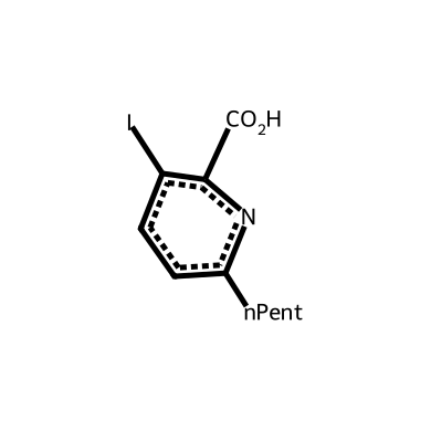 CCCCCc1ccc(I)c(C(=O)O)n1